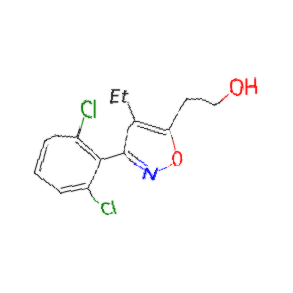 CCc1c(-c2c(Cl)cccc2Cl)noc1CCO